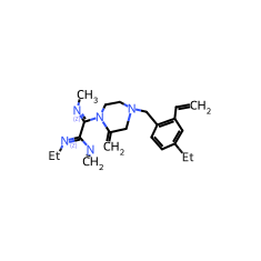 C=Cc1cc(CC)ccc1CN1CCN(C(=N\C)/C(N=C)=N/CC)C(=C)C1